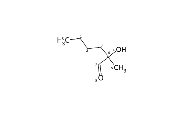 CCCCC(C)(O)[C]=O